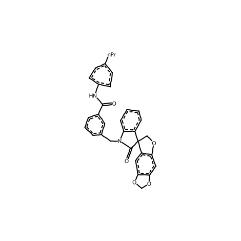 CCCc1ccc(NC(=O)c2cccc(CN3C(=O)C4(COc5cc6c(cc54)OCO6)c4ccccc43)c2)cc1